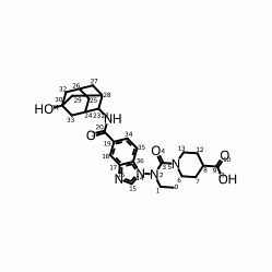 CCN(C(=O)N1CCC(C(=O)O)CC1)n1cnc2cc(C(=O)NC3C4CC5CC3CC(O)(C5)C4)ccc21